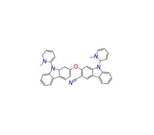 CN1CC=CC=C1N1c2ccccc2C2=CC=C(Oc3cc4c(cc3C#N)c3ccccc3n4C3C=CC=CN3C)CC21